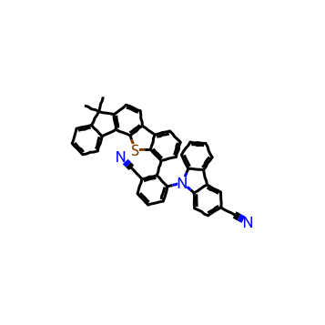 CC1(C)c2ccccc2-c2c1ccc1c2sc2c(-c3c(C#N)cccc3-n3c4ccccc4c4cc(C#N)ccc43)cccc21